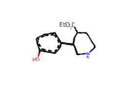 CCOC(=O)C1CCNCC1c1cccc(O)c1